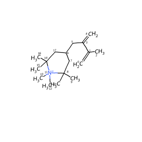 C=C(C)C(=C)CC1CC(C)(C)[N+](C)(C)C(C)(C)C1